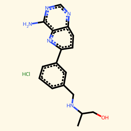 CC(CO)NCc1cccc(-c2ccc3ncnc(N)c3n2)c1.Cl